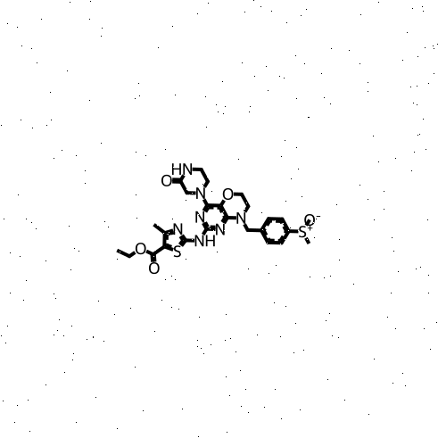 CCOC(=O)c1sc(Nc2nc(N3CCNC(=O)C3)c3c(n2)N(Cc2ccc([S+](C)[O-])cc2)CCO3)nc1C